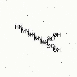 N=N/N=N/N=N/N=N/N(OOO)OOO